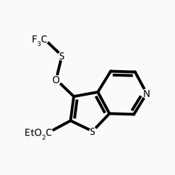 CCOC(=O)c1sc2cnccc2c1OSC(F)(F)F